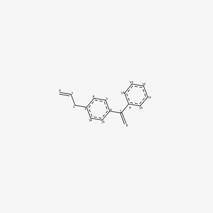 C=CCc1ccc(C(=C)c2ccccc2)cc1